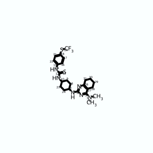 CN(C)c1nc(NC2CCC(NC(=S)Nc3ccc(SC(F)(F)F)cc3)CC2)nc2c1CCCC2